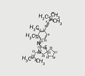 Cc1c(C#C[Si](C)(C)C)ccc(N=C2SC3(CCCC3)CN2CC(C)C)c1C